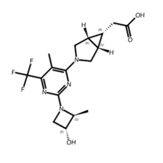 Cc1c(N2C[C@@H]3[C@H](CC(=O)O)[C@@H]3C2)nc(N2C[C@@H](O)[C@@H]2C)nc1C(F)(F)F